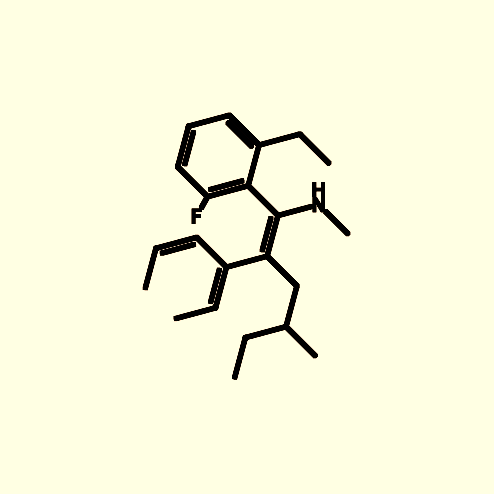 C\C=C/C(=C\C)C(/CC(C)CC)=C(/NC)c1c(F)cccc1CC